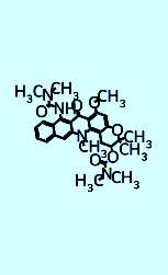 COc1cc2c(c3c1c(=O)c1c(NC(=O)N(C)C)c4ccccc4cc1n3C)C[C@H](OC(=O)N(C)C)C(C)(C)O2